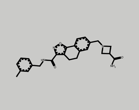 Cc1cccc(CNC(=O)c2noc3c2CCc2cc(CN4CC(C(N)=O)C4)ccc2-3)c1